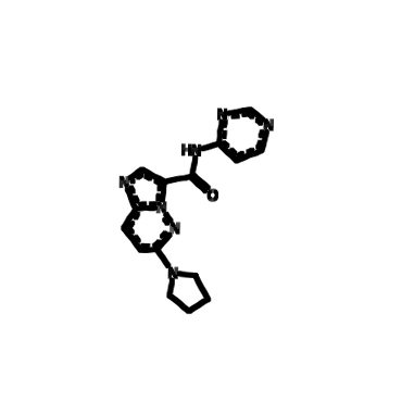 O=C(Nc1ccncn1)c1cnc2ccc(N3CCCC3)nn12